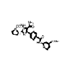 COc1ccnc(NC(=O)c2ccc(-c3nc([C@@H]4CCCN4C(=O)O)n(N)c3C(N)=O)cc2)c1